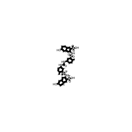 Cc1ccc(NC(=O)Nc2ccc(C)c(S(=O)(=O)Nc3cc4cc(O)ccc4cc3S(=O)(=O)O)c2)cc1S(=O)(=O)Nc1cc2cc(O)ccc2cc1S(=O)(=O)O